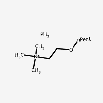 CCCCCOCC[N+](C)(C)C.P